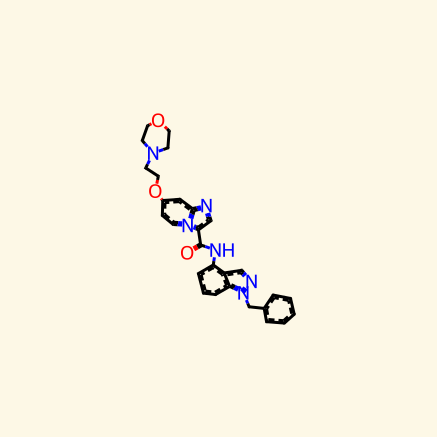 O=C(Nc1cccc2c1cnn2Cc1ccccc1)c1cnc2cc(OCCN3CCOCC3)ccn12